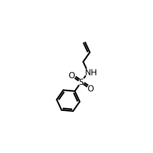 C=CCNS(=O)(=O)c1ccccc1